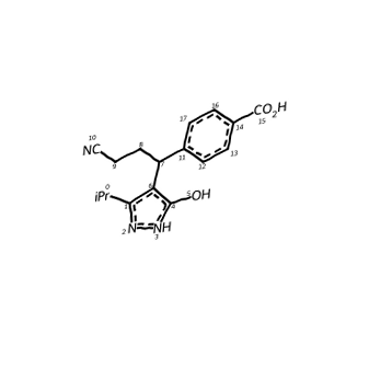 CC(C)c1n[nH]c(O)c1C(CCC#N)c1ccc(C(=O)O)cc1